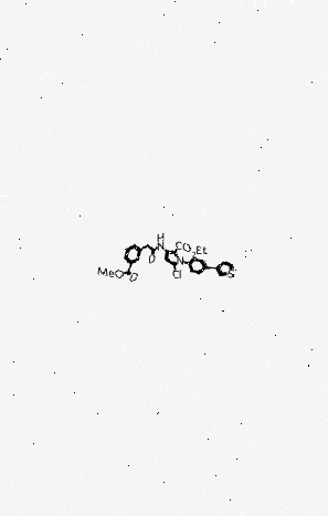 CCOC(=O)c1c(NC(=O)Cc2cccc(C(=O)OC)c2)cc(Cl)n1-c1ccc(-c2ccsc2)cc1